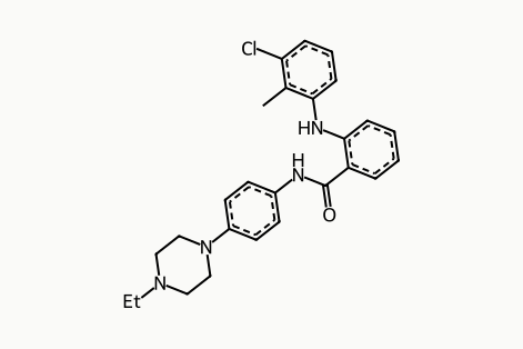 CCN1CCN(c2ccc(NC(=O)c3ccccc3Nc3cccc(Cl)c3C)cc2)CC1